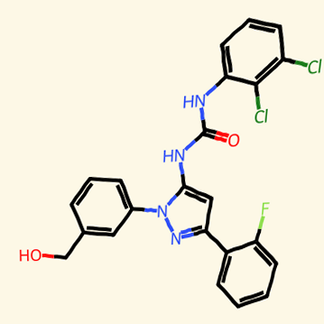 O=C(Nc1cccc(Cl)c1Cl)Nc1cc(-c2ccccc2F)nn1-c1cccc(CO)c1